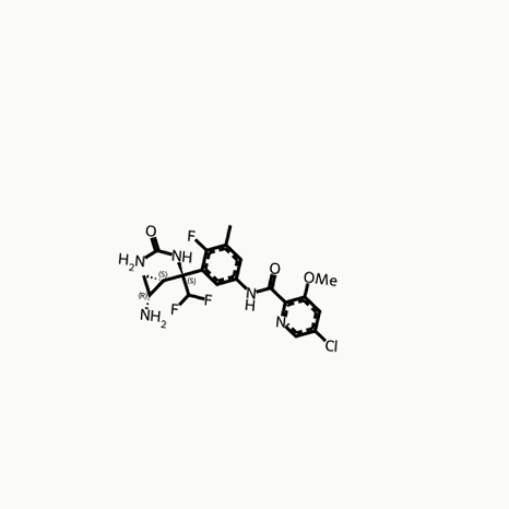 COc1cc(Cl)cnc1C(=O)Nc1cc(C)c(F)c([C@](NC(N)=O)(C(F)F)[C@H]2C[C@H]2N)c1